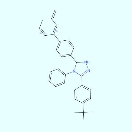 C=C/C=C(\C=C/C)c1ccc(C2NN=C(c3ccc(C(C)(C)C)cc3)N2c2ccccc2)cc1